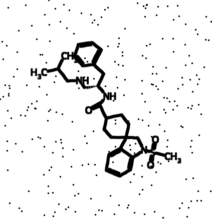 CC(C)CNC[C@H](Cc1ccccc1)NC(=O)C1CCC2(CC1)CN(S(C)(=O)=O)c1ccccc12